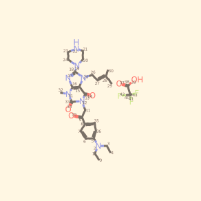 CCN(CC)c1ccc(C(=O)Cn2c(=O)c3c(nc(N4CCNCC4)n3CC=C(C)C)n(C)c2=O)cc1.O=C(O)C(F)(F)F